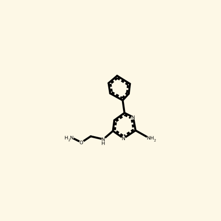 NOCNc1cc(-c2ccccc2)nc(N)n1